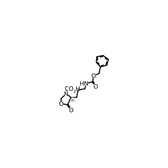 O=C(NCCC[C@H]1C(=O)OCN1C(=O)O)OCc1ccccc1